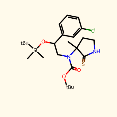 CC(C)(C)OC(=O)N(CC(O[Si](C)(C)C(C)(C)C)c1cccc(Cl)c1)C1(C)CCNC1=S